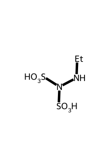 CCNN(S(=O)(=O)O)S(=O)(=O)O